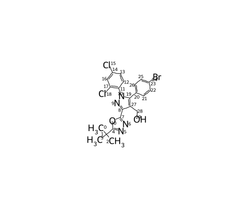 CC(C)(C)c1nnc(-c2nn(-c3ccc(Cl)cc3Cl)c(-c3ccc(Br)cc3)c2CO)o1